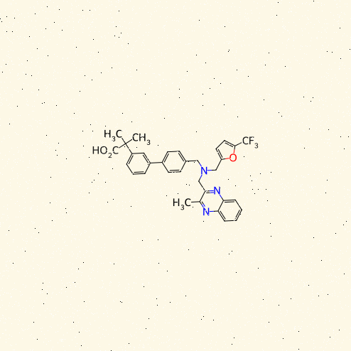 Cc1nc2ccccc2nc1CN(Cc1ccc(-c2cccc(C(C)(C)C(=O)O)c2)cc1)Cc1ccc(C(F)(F)F)o1